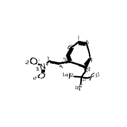 O=[N+]([O-])/C=C/c1ccccc1C(F)(F)F